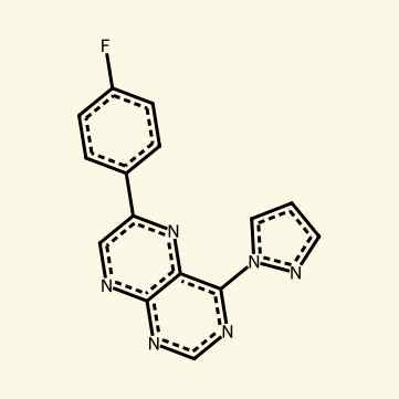 Fc1ccc(-c2cnc3ncnc(-n4cccn4)c3n2)cc1